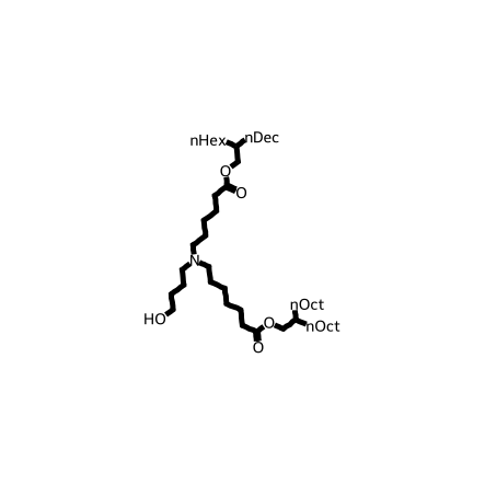 CCCCCCCCCCC(CCCCCC)COC(=O)CCCCCN(CCCCO)CCCCCCC(=O)OCC(CCCCCCCC)CCCCCCCC